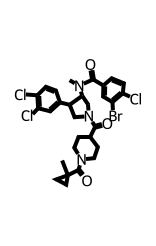 CN(C(=O)c1ccc(Cl)c(Br)c1)C1CN(C(=O)C2CCN(C(=O)C3(C)CC3)CC2)CC1c1ccc(Cl)c(Cl)c1